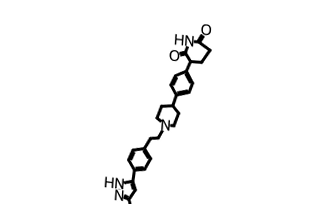 O=C1CCC(c2ccc(C3CCN(CCc4ccc(-c5cc(O)n[nH]5)cc4)CC3)cc2)C(=O)N1